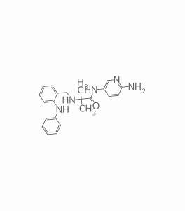 CC(C)(NCc1ccccc1Nc1ccccc1)C(=O)Nc1ccc(N)nc1